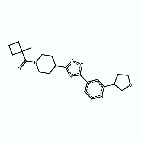 CC1(C(=O)N2CCC(c3noc(-c4ccnc(C5CCOC5)c4)n3)CC2)CCC1